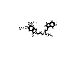 COc1cc2c(cc1OC)C(=S)N(CCCN(C)CCc1csc3ccccc13)C2